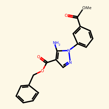 COC(=O)c1cccc(-n2ncc(C(=O)OCc3ccccc3)c2N)c1